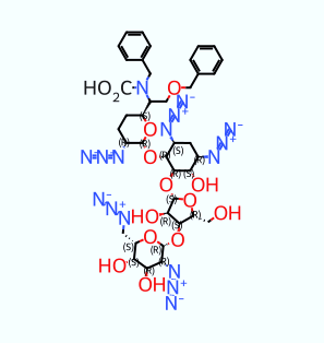 [N-]=[N+]=NC[C@@H]1O[C@H](O[C@H]2[C@@H](O)[C@H](O[C@@H]3[C@@H](O)[C@H](N=[N+]=[N-])C[C@H](N=[N+]=[N-])[C@H]3O[C@H]3O[C@H](C(COCc4ccccc4)N(Cc4ccccc4)C(=O)O)CC[C@H]3N=[N+]=[N-])O[C@@H]2CO)[C@H](N=[N+]=[N-])[C@@H](O)[C@@H]1O